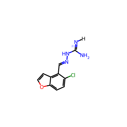 [H]/N=C(\N)NN=Cc1c(Cl)ccc2occc12